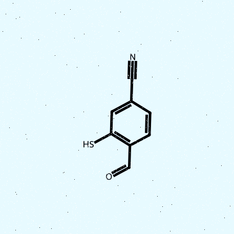 N#Cc1ccc(C=O)c(S)c1